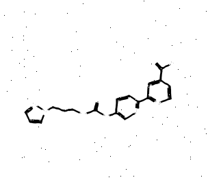 NC(=O)c1ccnc(-c2ccc(NC(=O)OCCCn3cccn3)cn2)c1